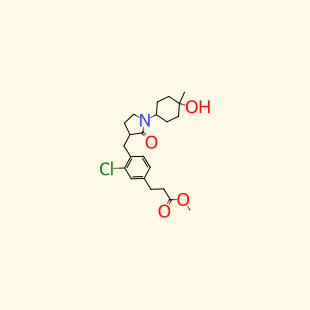 COC(=O)CCc1ccc(CC2CCN(C3CCC(C)(O)CC3)C2=O)c(Cl)c1